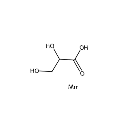 O=C(O)C(O)CO.[Mn]